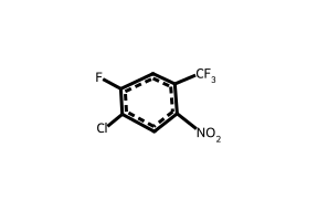 O=[N+]([O-])c1cc(Cl)c(F)cc1C(F)(F)F